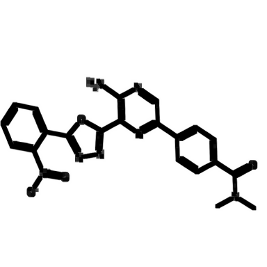 CN(C)C(=O)c1ccc(-c2cnc(N)c(-c3nnc(-c4ccccc4[N+](=O)[O-])o3)n2)cc1